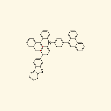 c1ccc(N(c2ccc(-c3ccc4c(c3)sc3ccccc34)cc2)c2ccc(-c3cc4ccccc4c4ccccc34)cc2)c(-c2cccc3ccccc23)c1